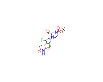 COC[C@H]1CN(C(=O)OC(C)(C)C)CCN1c1cc(F)c(C2CCC(=O)NC2=O)c(F)c1